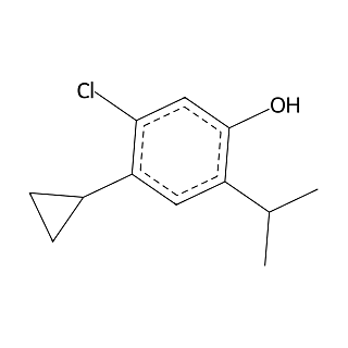 CC(C)c1cc(C2CC2)c(Cl)cc1O